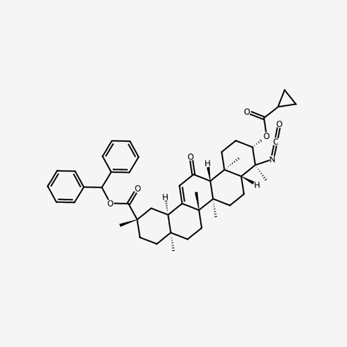 C[C@]1(C(=O)OC(c2ccccc2)c2ccccc2)CC[C@]2(C)CC[C@]3(C)C(=CC(=O)[C@@H]4[C@@]5(C)CC[C@H](OC(=O)C6CC6)[C@@](C)(N=C=O)[C@@H]5CC[C@]43C)[C@@H]2C1